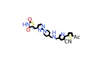 CC(=O)c1ccc(-c2ncc(CNCC3CCN(c4nccc(/C=C5\SC(=O)NC5=O)n4)CC3)cc2C#N)s1